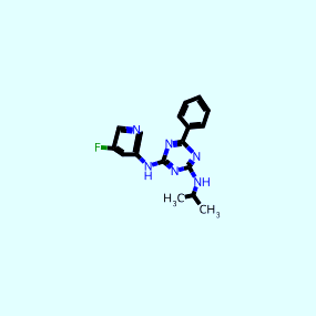 CC(C)Nc1nc(Nc2cncc(F)c2)nc(-c2ccccc2)n1